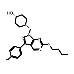 CCCCNc1ncc2c(-c3ccc(F)cc3)nn(C[C@H]3CC[C@@H](O)CC3)c2n1